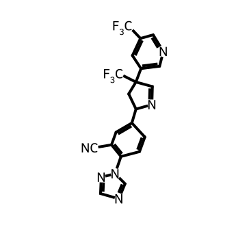 N#Cc1cc(C2CC(c3cncc(C(F)(F)F)c3)(C(F)(F)F)C=N2)ccc1-n1cncn1